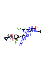 CC1(NC(=O)O[C@H]2CC[C@@H](c3cc(Nc4nc(Cl)cc5nc(C(=O)NC6CC6)cn45)n[nH]3)[C@H]2F)CC1